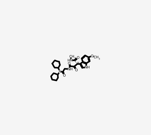 CNC(=O)[C@@H](C(=O)C(=O)NCC(=O)N(C1CCCCC1)C1CCCCC1)c1c[nH]c2cc(OC)ccc12